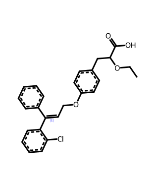 CCOC(Cc1ccc(OC/C=C(\c2ccccc2)c2ccccc2Cl)cc1)C(=O)O